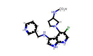 O=C(O)NC1CCN(c2c(Br)cnc3[nH]cc(NCc4cccnc4)c23)C1